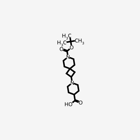 CC(C)(C)OC(=O)N1CCC2(CC1)CC(N1CCC(C(=O)O)CC1)C2